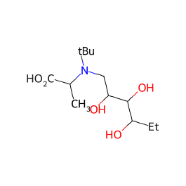 CCC(O)C(O)C(O)CN(C(C)C(=O)O)C(C)(C)C